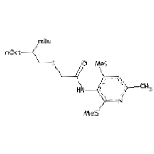 CCCCCCCCC(CCCC)CSCC(=O)Nc1c(SC)cc(C)nc1SC